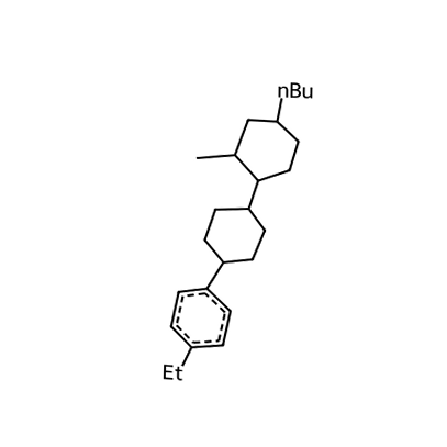 CCCCC1CCC(C2CCC(c3ccc(CC)cc3)CC2)C(C)C1